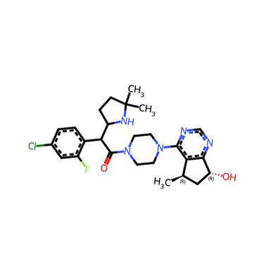 C[C@@H]1C[C@@H](O)c2ncnc(N3CCN(C(=O)C(c4ccc(Cl)cc4F)C4CCC(C)(C)N4)CC3)c21